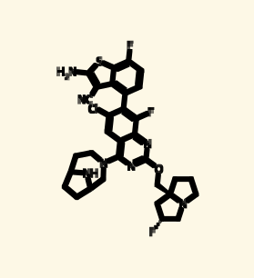 N#Cc1c(N)sc2c(F)ccc(-c3c(Cl)cc4c(N5CCC6CCC(C5)N6)nc(OC[C@@]56CCCN5C[C@H](F)C6)nc4c3F)c12